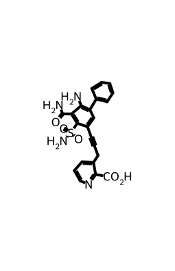 NC(=O)c1c(N)c(-c2ccccc2)cc(C#CCc2cccnc2C(=O)O)c1S(N)(=O)=O